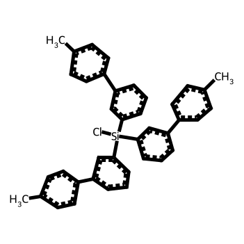 Cc1ccc(-c2cccc([Si](Cl)(c3cccc(-c4ccc(C)cc4)c3)c3cccc(-c4ccc(C)cc4)c3)c2)cc1